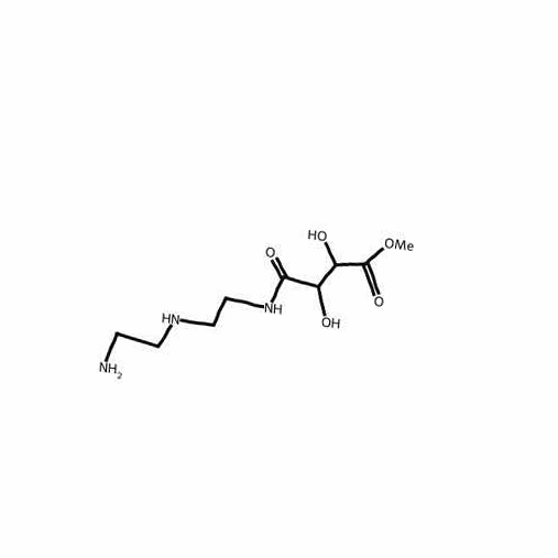 COC(=O)C(O)C(O)C(=O)NCCNCCN